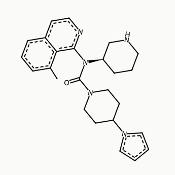 Cc1cccc2ccnc(N(C(=O)N3CCC(n4cccc4)CC3)[C@@H]3CCCNC3)c12